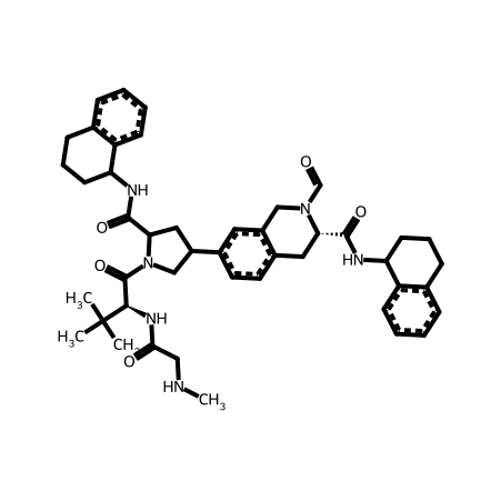 CNCC(=O)N[C@H](C(=O)N1CC(c2ccc3c(c2)CN(C=O)[C@H](C(=O)NC2CCCc4ccccc42)C3)CC1C(=O)NC1CCCc2ccccc21)C(C)(C)C